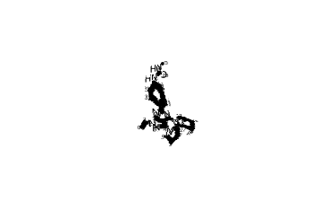 CCn1nc(N2CCCC2)c2c(N3CC4CCC(C3)O4)nc(-c3ccc(NC(=O)NC)cc3)nc21